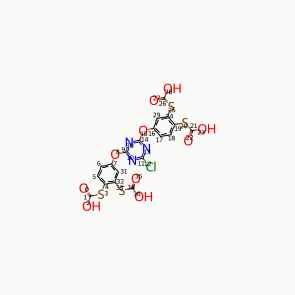 O=C(O)Sc1ccc(Oc2nc(Cl)nc(Oc3ccc(SC(=O)O)c(SC(=O)O)c3)n2)cc1SC(=O)O